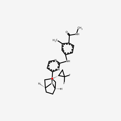 CNC(=O)c1ccc(Nc2nccc(N3C[C@H]4CC[C@@H](C3)N4C[C@@H]3CC3(F)F)n2)cc1C